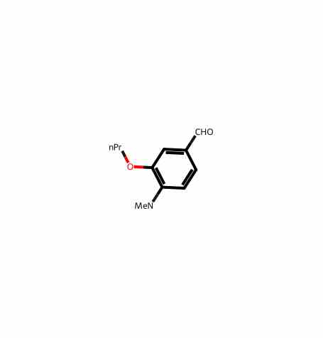 CCCOc1cc(C=O)ccc1NC